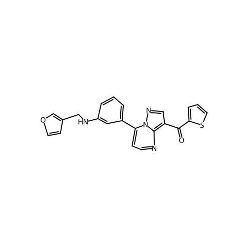 O=C(c1cccs1)c1cnn2c(-c3cccc(NCc4ccoc4)c3)ccnc12